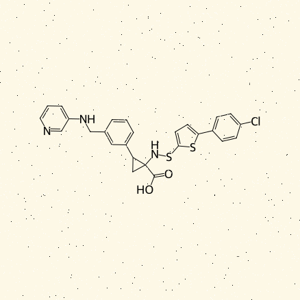 O=C(O)C1(NSc2ccc(-c3ccc(Cl)cc3)s2)CC1c1cccc(CNc2cccnc2)c1